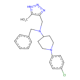 O=C(O)c1[nH]nnc1CN(Cc1ccccc1)C1CCN(c2ccc(Cl)cc2)CC1